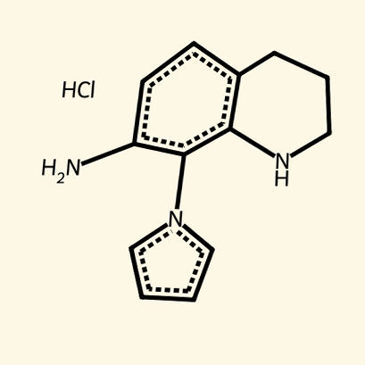 Cl.Nc1ccc2c(c1-n1cccc1)NCCC2